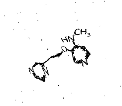 CNc1ccncc1OCCc1cnccn1